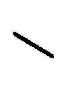 S=S=S=S=S=S=S=S=S=S=S=S=S=S=S=S=S=S=S=S=S=S=S=S=S=S=S=S=S=S=S=S=S=S=S=S=S=S=S=S=S=S=S=S=S=S=S=S=S=S=S=S=S=S=S=S=S=S=S=S=S=S=S=S=S=S